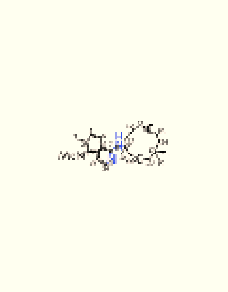 CNc1c(C)ccc2c(NC3(C)CCCCCCC(C)(C)CCC3)nccc12